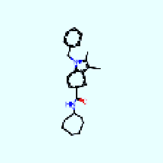 Cc1c(C)n(Cc2ccccc2)c2ccc(C(=O)NC3CCCCCC3)cc12